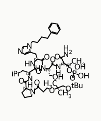 CC(C)C[C@H](NC(=O)[C@@H]1CCCN1C(=O)CCOC(C)(C)COC(C)(C)C)C(=O)N[C@@H](Cc1cncn1CCCCc1ccccc1)C(=O)N[C@@H](CO)C(=O)N[C@H](C(N)=O)[C@@H](C)OP(=O)(O)O